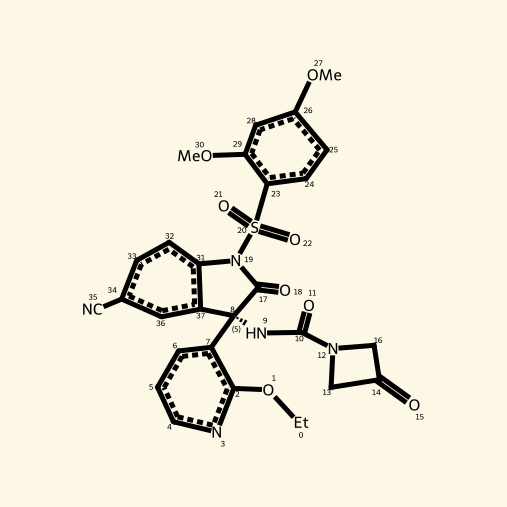 CCOc1ncccc1[C@]1(NC(=O)N2CC(=O)C2)C(=O)N(S(=O)(=O)c2ccc(OC)cc2OC)c2ccc(C#N)cc21